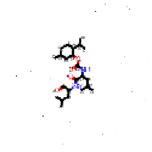 CC(C)CC(C=O)NC(=O)C(CC(C)C)NC(=O)OC1CC(C)CCC1C(C)C